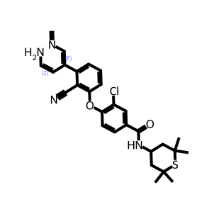 C=N/C=C(\C=C/N)c1cccc(Oc2ccc(C(=O)NC3CC(C)(C)SC(C)(C)C3)cc2Cl)c1C#N